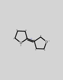 C1CO/C(=C2\CCOC2)C1